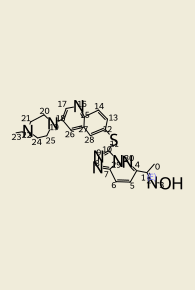 C/C(=N\O)c1ccc2nnc(Sc3ccc4ncc(N5CCN(C)CC5)cc4c3)n2n1